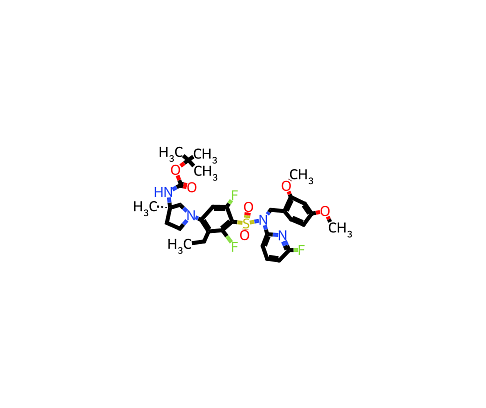 CCc1c(N2CC[C@@](C)(NC(=O)OC(C)(C)C)C2)cc(F)c(S(=O)(=O)N(Cc2ccc(OC)cc2OC)c2cccc(F)n2)c1F